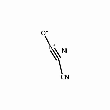 N#CC#[N+][O-].[Ni]